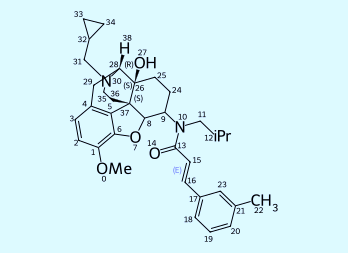 COc1ccc2c3c1OC1C(N(CC(C)C)C(=O)/C=C/c4cccc(C)c4)CC[C@@]4(O)[C@@H](C2)N(CC2CC2)CC[C@]314